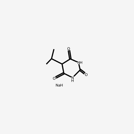 CC(C)C1C(=O)NC(=O)NC1=O.[NaH]